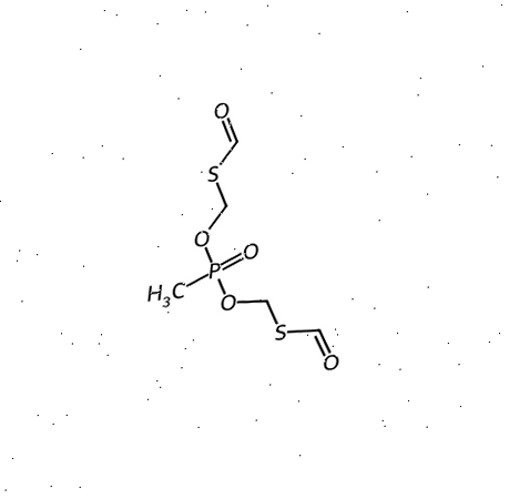 CP(=O)(OCSC=O)OCSC=O